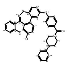 O=C(c1ccc(Nc2ncc3c(n2)-c2ccc(Cl)cc2C(c2ccccc2F)=NC3)cc1)N1CCN(c2ccccn2)CC1